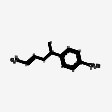 CCOC(=O)c1ccc(C(C)CC=C[N+](=O)[O-])cc1